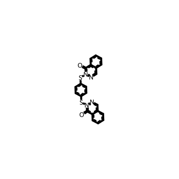 O=c1c2ccccc2cnn1Sc1ccc(Sn2ncc3ccccc3c2=O)cc1